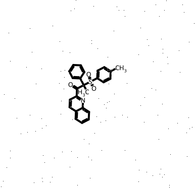 Cc1ccc(S(=O)(=O)C(C)(C(=O)c2ccc3ccccc3n2)c2ccccc2)cc1